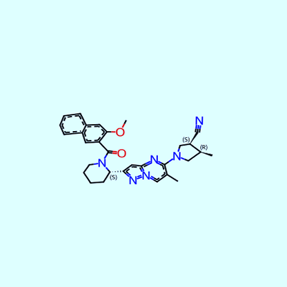 COc1cc2ccccc2cc1C(=O)N1CCCC[C@H]1c1cc2nc(N3C[C@@H](C#N)[C@@H](C)C3)c(C)cn2n1